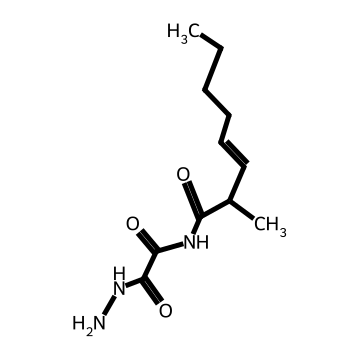 CCCCC=CC(C)C(=O)NC(=O)C(=O)NN